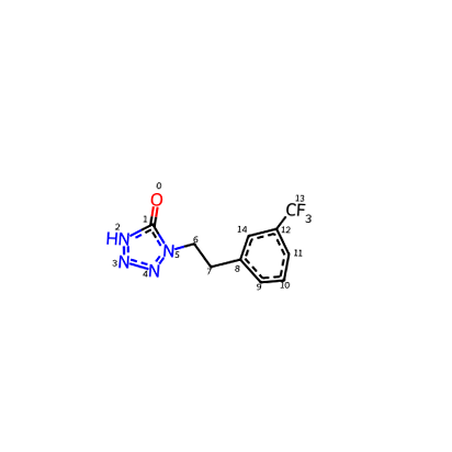 O=c1[nH]nnn1CCc1cccc(C(F)(F)F)c1